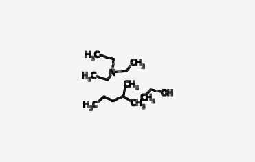 CCCC(C)C.CCN(CC)CC.CCO